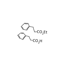 CCOC(=O)CCc1ccccc1.O=C(O)CCc1ccccc1